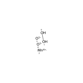 OO.[Mn+4].[O-2].[O-2]